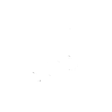 CN[C@@H](C)C(=O)N[C@H]1CCc2ccccc2N(Cc2c(OC)ccc3c(Br)cccc23)C1=O